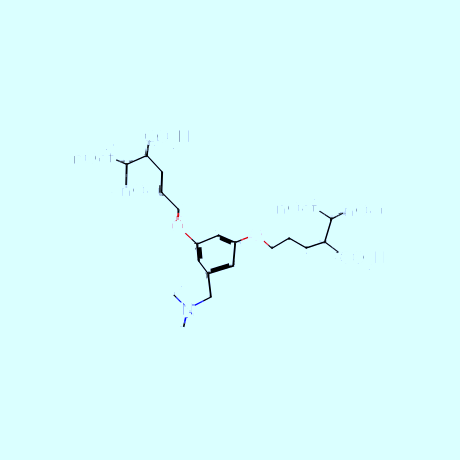 CCCCCCCCC(CCCCCCCC)C(CCCOc1cc(CN(C)C)cc(OCCCC(C(=O)O)C(CCCCCCCC)CCCCCCCC)c1)C(=O)O